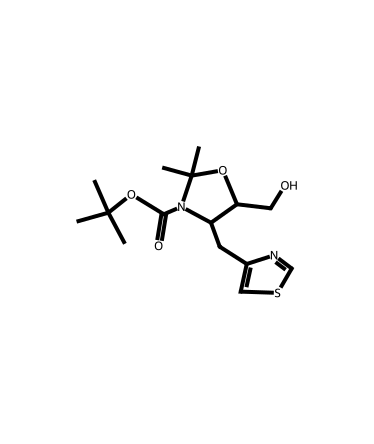 CC(C)(C)OC(=O)N1C(Cc2cscn2)C(CO)OC1(C)C